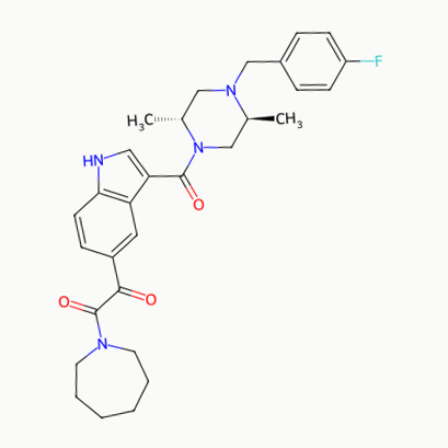 C[C@@H]1CN(Cc2ccc(F)cc2)[C@@H](C)CN1C(=O)c1c[nH]c2ccc(C(=O)C(=O)N3CCCCCC3)cc12